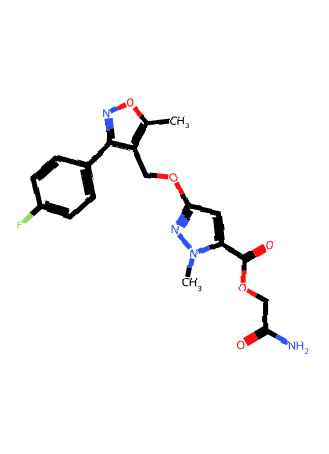 Cc1onc(-c2ccc(F)cc2)c1COc1cc(C(=O)OCC(N)=O)n(C)n1